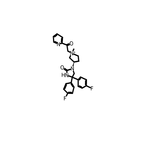 C[N+]1(CC(=O)c2ccccn2)CC[C@@H](N2CC(c3ccc(F)cc3)(c3ccc(F)cc3)NC2=O)C1